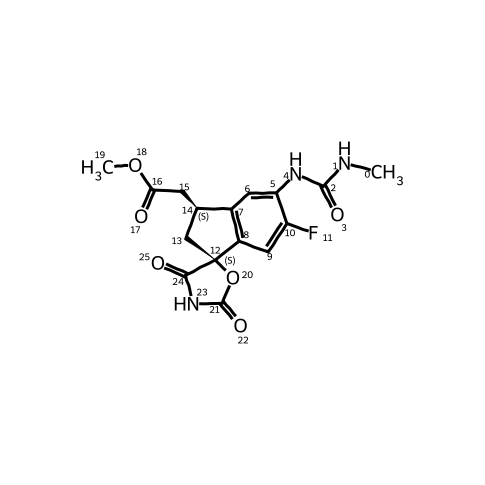 CNC(=O)Nc1cc2c(cc1F)[C@]1(C[C@H]2CC(=O)OC)OC(=O)NC1=O